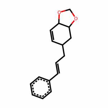 C(=Cc1ccccc1)CC1C=CC2OCOC2C1